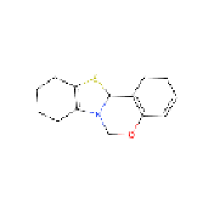 C1=CC2=C(CC1)C1SC3=C(CCCC3)N1CO2